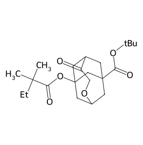 CCC(C)(C)C(=O)OC12CC3CC(C(=O)OC(C)(C)C)(CC(C1)C(=O)CO3)C2